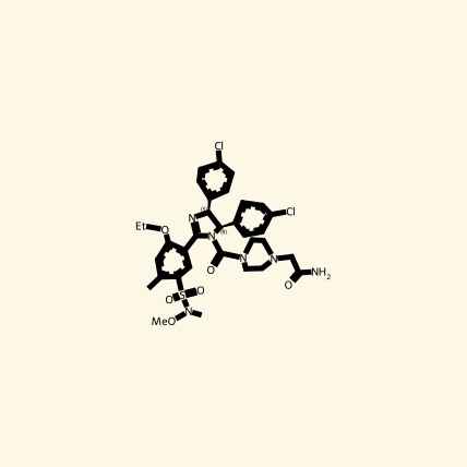 CCOc1cc(C)c(S(=O)(=O)N(C)OC)cc1C1=N[C@@H](c2ccc(Cl)cc2)[C@@H](c2ccc(Cl)cc2)N1C(=O)N1CCN(CC(N)=O)CC1